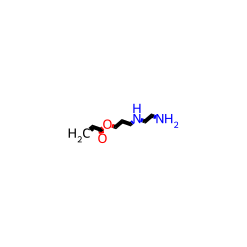 C=CC(=O)OCCCNCCN